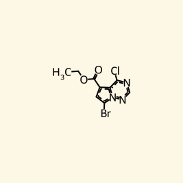 CCOC(=O)c1cc(Br)n2ncnc(Cl)c12